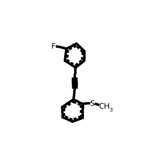 CSc1ccccc1C#Cc1cccc(F)c1